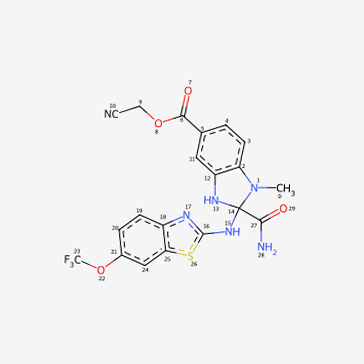 CN1c2ccc(C(=O)OCC#N)cc2NC1(Nc1nc2ccc(OC(F)(F)F)cc2s1)C(N)=O